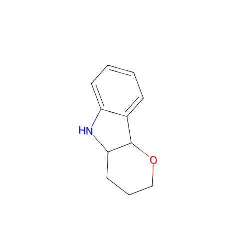 c1ccc2c(c1)NC1CCCOC21